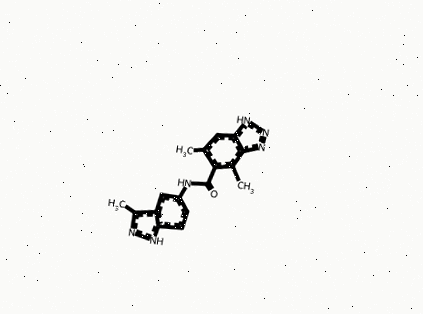 Cc1cc2[nH]nnc2c(C)c1C(=O)Nc1ccc2[nH]nc(C)c2c1